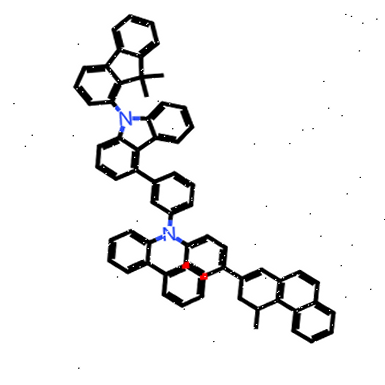 CC1CC(c2ccc(N(c3cccc(-c4cccc5c4c4ccccc4n5-c4cccc5c4C(C)(C)c4ccccc4-5)c3)c3ccccc3-c3ccccc3)cc2)=Cc2ccc3ccccc3c21